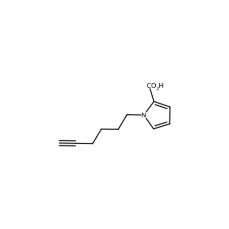 C#CCCCCn1cccc1C(=O)O